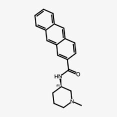 CN1CCC[C@@H](NC(=O)c2ccc3cc4ccccc4cc3c2)C1